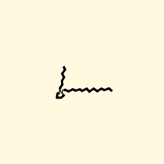 CCCCCCCCCCCCCC[N+]1(CCCCCCC)CCCC1